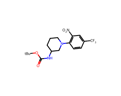 CC(C)(C)OC(=O)NC1CCCN(c2ccc(C(F)(F)F)cc2[N+](=O)[O-])C1